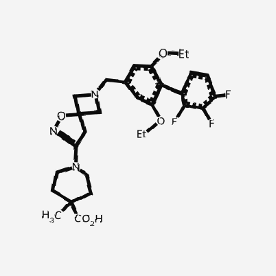 CCOc1cc(CN2CC3(CC(N4CCC(C)(C(=O)O)CC4)=NO3)C2)cc(OCC)c1-c1ccc(F)c(F)c1F